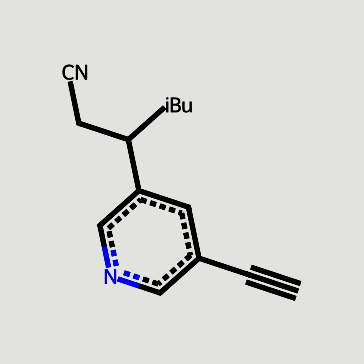 C#Cc1cncc(C(CC#N)C(C)CC)c1